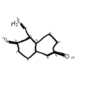 C=CC1C(=O)CCC2CC(=O)CCC21